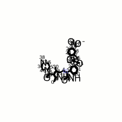 Cc1[nH]c(/C=C2\C(=O)Nc3ccc(S(=O)(=O)Cc4cc([N+](=O)[O-])ccc4O)cc32)c(C)c1C(=O)N1CCN(C)CC1